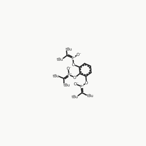 CC(C)(C)C(=[P+]([O-])Oc1cccc(O[P+]([O-])=C(C(C)(C)C)C(C)(C)C)c1O[P+]([O-])=C(C(C)(C)C)C(C)(C)C)C(C)(C)C